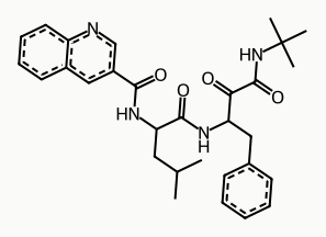 CC(C)CC(NC(=O)c1cnc2ccccc2c1)C(=O)NC(Cc1ccccc1)C(=O)C(=O)NC(C)(C)C